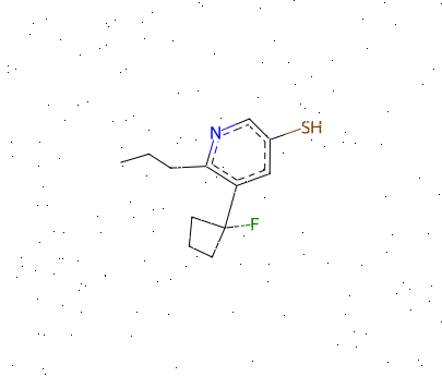 CCCc1ncc(S)cc1C1(F)CCC1